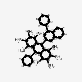 Bc1c(B)c(B)c2c(-c3cc(-c4ccccc4)c4ccccc4c3)c3c(B)c(B)c(B)c(B)c3c(-c3ccccc3)c2c1B